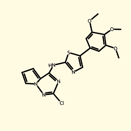 COc1cc(-c2cnc(Nc3nc(Cl)nn4cccc34)s2)cc(OC)c1OC